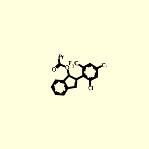 CC(C)C(=O)OC1c2ccccc2CC1c1c(Cl)cc(Cl)cc1C(F)(F)F